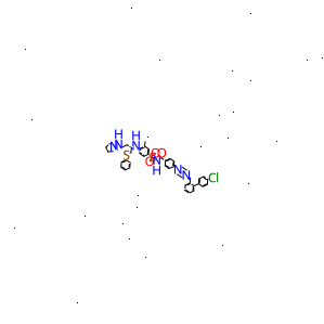 Cc1cc(S(=O)(=O)NC(=O)c2ccc(N3CCN(Cc4ccccc4-c4ccc(Cl)cc4)CC3)cc2)ccc1N[C@H](CCNN1CCCC1)CSc1ccccc1